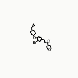 O=C(C=Cc1ccc(OC2CCN(CC3CC3)CC2)c(Br)c1)N1CCOCC1